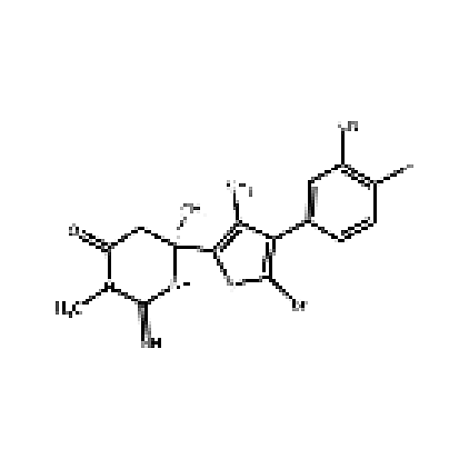 Cc1c([C@]2(C)CC(=O)N(C)C(=N)N2)sc(Br)c1-c1ccc(F)c(C#N)c1